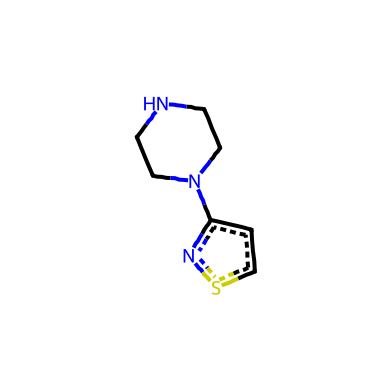 c1cc(N2CCNCC2)ns1